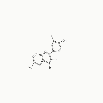 O=c1c(F)c(-c2ccc(O)c(F)c2)oc2ccc(O)cc12